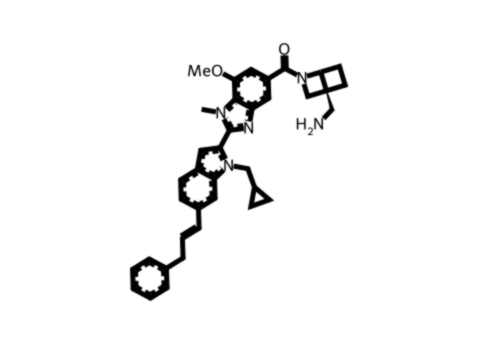 COc1cc(C(=O)N2C[C@@]3(CN)CCC23)cc2nc(-c3cc4ccc(/C=C/Cc5ccccc5)cc4n3CC3CC3)n(C)c12